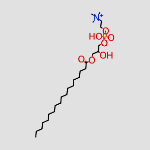 CCCCCCCCCCCCCCCCCC(=O)OCC(O)COP(=O)(O)OCC[N+](C)(C)C